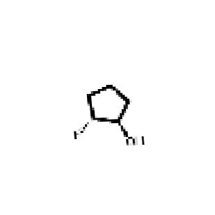 O[C@@H]1CCC[C@H]1F